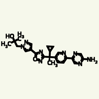 CC(C)(O)Cn1cc(-c2nc([C@@](C)(c3ccc(-c4cnc(N)cn4)nc3)C3CC3)no2)cn1